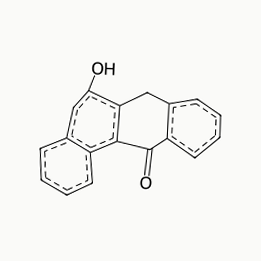 O=C1c2ccccc2Cc2c(O)cc3ccccc3c21